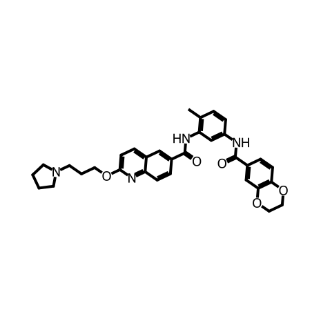 Cc1ccc(NC(=O)c2ccc3c(c2)OCCO3)cc1NC(=O)c1ccc2nc(OCCCN3CCCC3)ccc2c1